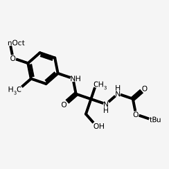 CCCCCCCCOc1ccc(NC(=O)C(C)(CO)NNC(=O)OC(C)(C)C)cc1C